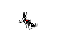 CO[C@@]1(NC(=O)C[S+]([O-])c2ccc(O)cc2)C(=O)N2C(C(=O)O)=C(CSc3nnnn3C)CS[C@H]21